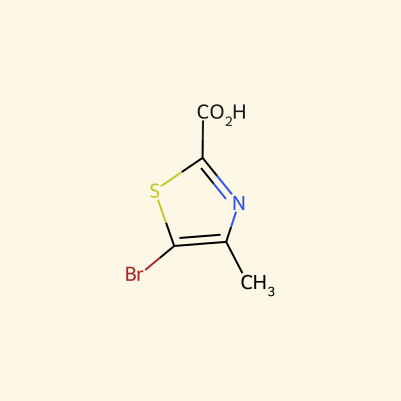 Cc1nc(C(=O)O)sc1Br